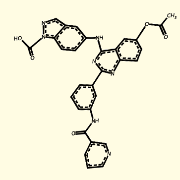 CC(=O)Oc1ccc2nc(-c3cccc(NC(=O)c4cccnc4)c3)nc(Nc3ccc4c(cnn4C(=O)O)c3)c2c1